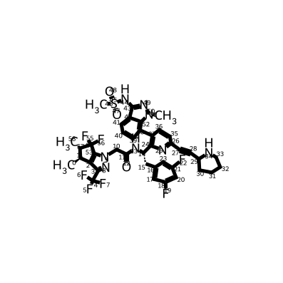 C[C@@H]1c2c(C(F)(F)F)nn(CC(=O)N[C@@H](Cc3cc(F)cc(F)c3)c3nc(C#CC4CCCCN4)ccc3-c3cccc4c(NS(C)(=O)=O)nn(C)c34)c2C(F)(F)[C@@H]1C